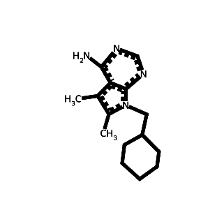 Cc1c(C)n(CC2CCCCC2)c2ncnc(N)c12